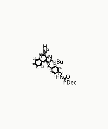 CCCCCCCCCCC(=O)NCc1ccc(Cn2c(CCCC)nc3c(N)nc4ccccc4c32)cc1